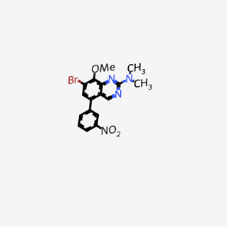 COc1c(Br)cc(-c2cccc([N+](=O)[O-])c2)c2cnc(N(C)C)nc12